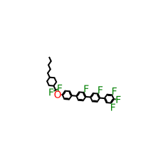 CCCCCC1CCC(C(F)(F)Oc2ccc(-c3ccc(-c4ccc(-c5cc(F)c(F)c(F)c5)c(F)c4)c(F)c3)cc2)CC1